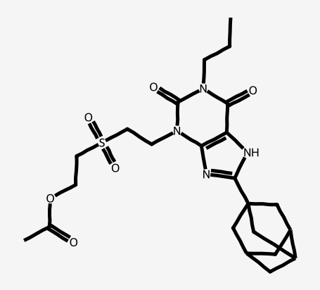 CCCn1c(=O)c2[nH]c(C34CC5CC(C3)C(C5)C4)nc2n(CCS(=O)(=O)CCOC(C)=O)c1=O